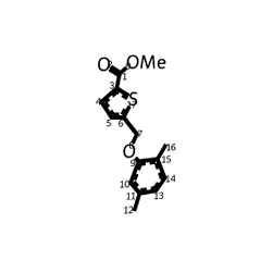 COC(=O)c1ccc(COc2cc(C)ccc2C)s1